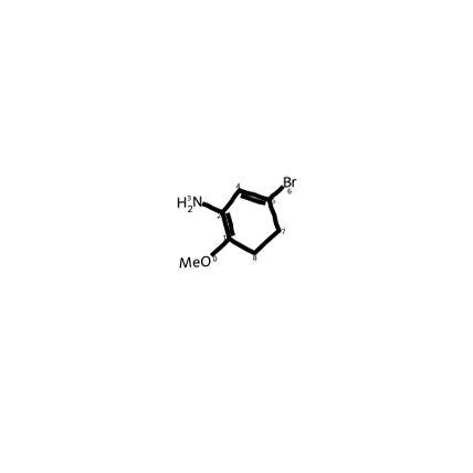 COC1=C(N)C=C(Br)CC1